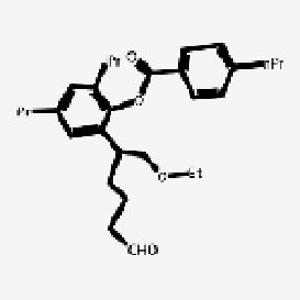 CCCc1ccc(C(=O)Oc2c(C(C)C)cc(C(C)C)cc2C(CCCC=O)COCC)cc1